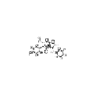 C=CCC(C(=O)N1C(=O)OCC1Cc1ccccc1)c1ccc(F)cc1